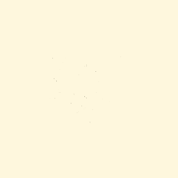 COCCCOc1cc(CC(C)(NC(C)=O)C(C)C)c(Br)nc1OC